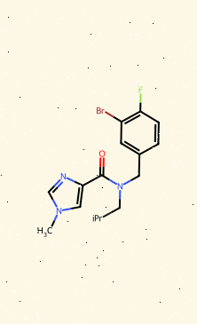 CC(C)CN(Cc1ccc(F)c(Br)c1)C(=O)c1cn(C)cn1